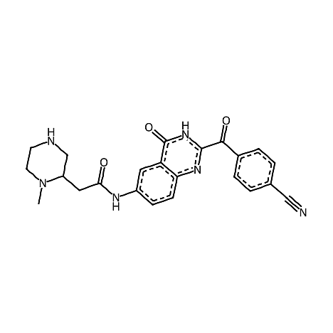 CN1CCNCC1CC(=O)Nc1ccc2nc(C(=O)c3ccc(C#N)cc3)[nH]c(=O)c2c1